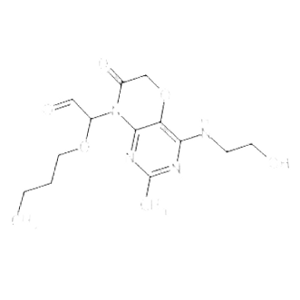 CCCCOC(C=O)N1C(=O)COc2c(NCCO)nc(C)nc21